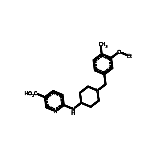 CCOc1cc(CN2CCC(Nc3ccc(C(=O)O)cn3)CC2)ccc1C